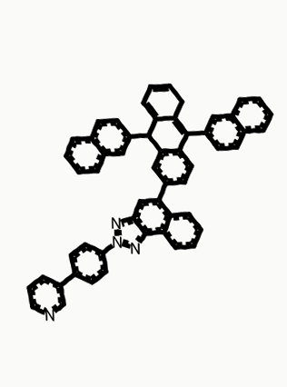 C1=CCC2=C(c3ccc4ccccc4c3)c3ccc(-c4cc5nn(-c6ccc(-c7cccnc7)cc6)nc5c5ccccc45)cc3C(c3ccc4ccccc4c3)C2=C1